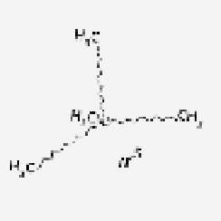 CCCCCCCCCCCC[N+](C)(CCCCCCCCCCCC)CCCCCCCCCCCC.N#C[S-]